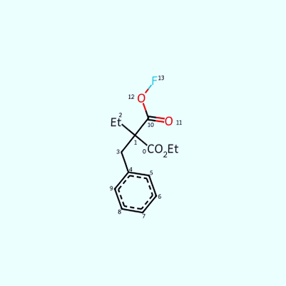 CCOC(=O)C(CC)(Cc1ccccc1)C(=O)OF